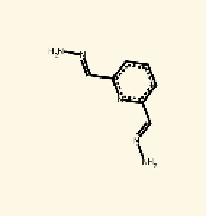 NN=Cc1cccc(C=NN)n1